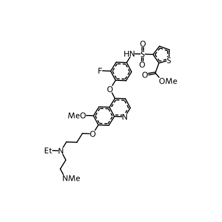 CCN(CCCOc1cc2nccc(Oc3ccc(NS(=O)(=O)c4ccsc4C(=O)OC)cc3F)c2cc1OC)CCNC